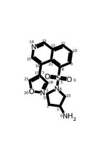 NC1CCN(S(=O)(=O)c2cccc3cncc(-c4cnoc4)c23)C1